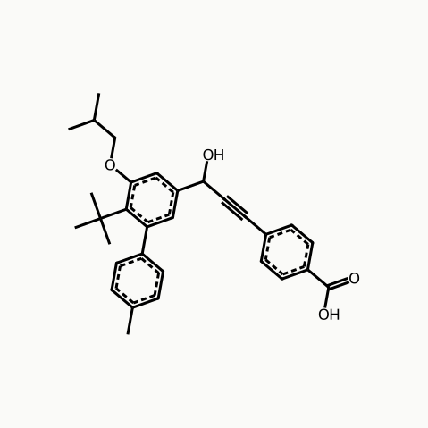 Cc1ccc(-c2cc(C(O)C#Cc3ccc(C(=O)O)cc3)cc(OCC(C)C)c2C(C)(C)C)cc1